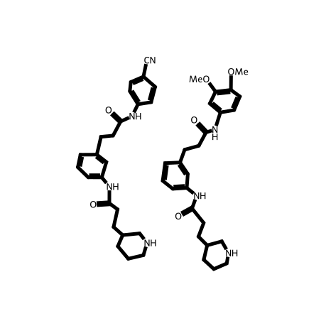 COc1ccc(NC(=O)CCc2cccc(NC(=O)CCC3CCCNC3)c2)cc1OC.N#Cc1ccc(NC(=O)CCc2cccc(NC(=O)CCC3CCCNC3)c2)cc1